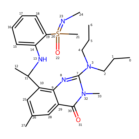 CCCN(CCC)c1nc2c(C(C)Nc3ccccc3S(C)(=O)=NC)cc(C)cc2c(=O)n1C